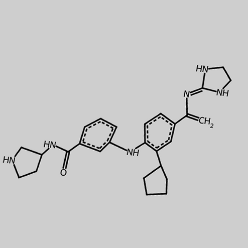 C=C(N=C1NCCN1)c1ccc(Nc2cccc(C(=O)NC3CCNC3)c2)c(C2CCCC2)c1